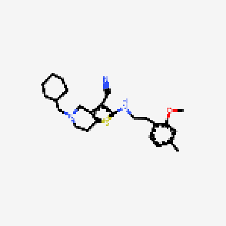 COc1cc(C)ccc1CCNc1sc2c(c1C#N)CN(CC1CCCCC1)CC2